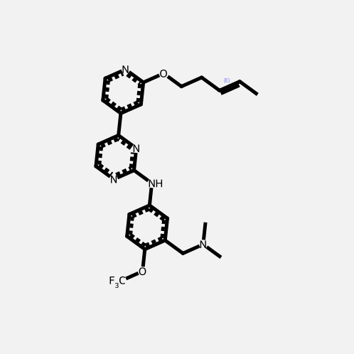 C/C=C/CCOc1cc(-c2ccnc(Nc3ccc(OC(F)(F)F)c(CN(C)C)c3)n2)ccn1